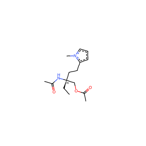 CC[C@@](CCc1cccn1C)(COC(C)=O)NC(C)=O